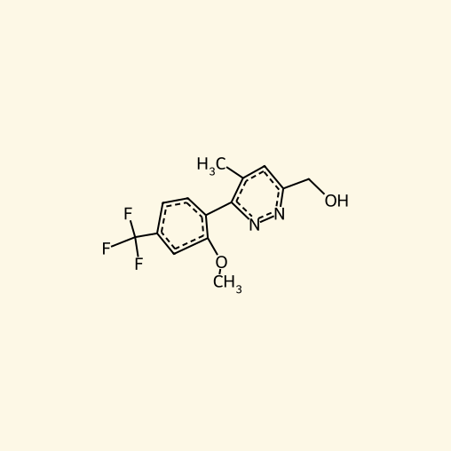 COc1cc(C(F)(F)F)ccc1-c1nnc(CO)cc1C